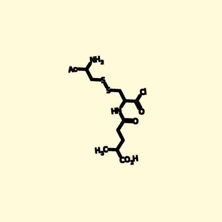 CC(=O)C(N)CSSCC(NC(=O)CCC(C)C(=O)O)C(=O)Cl